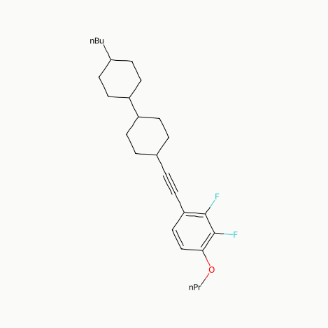 CCCCC1CCC(C2CCC(C#Cc3ccc(OCCC)c(F)c3F)CC2)CC1